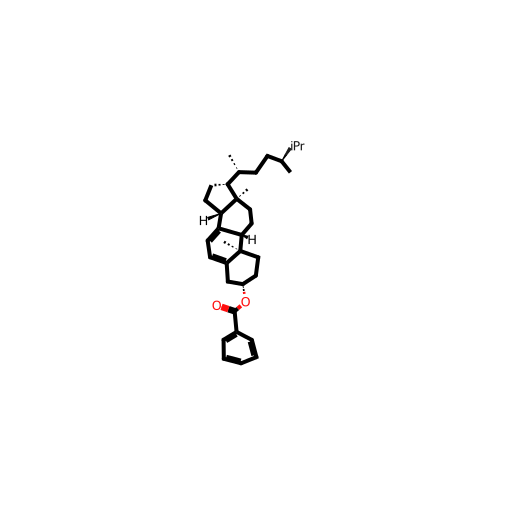 CC(C)[C@@H](C)CC[C@@H](C)[C@H]1CC[C@H]2C3=CC=C4C[C@@H](OC(=O)c5ccccc5)CC[C@]4(C)[C@H]3CC[C@]12C